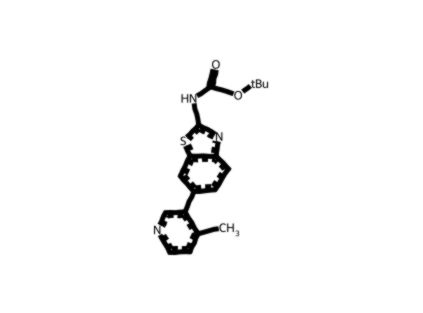 Cc1ccncc1-c1ccc2nc(NC(=O)OC(C)(C)C)sc2c1